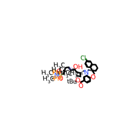 CPN(PC)S(=O)(=O)CC(C)(C)C(C)/C=C(\C)[C@@H](O)[C@@H]1CC[C@H]1CN1C[C@@]2(CCCc3cc(Cl)ccc32)COc2ccc(C(=O)OC(C)(C)C)cc21